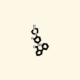 O=C(Nc1ccc(N2CCNCC2)c(F)c1)c1ccccc1-c1ccccc1